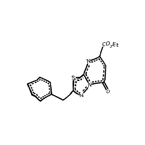 CCOC(=O)c1cc(=O)n2nc(Cc3ccccc3)sc2n1